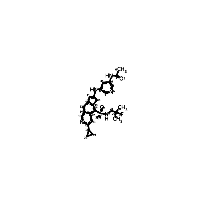 CC(=O)Nc1cncc(NC2Cc3cc4cnc(C5CC5)cc4c(S(=O)(=O)NCC(C)(C)F)c3C2)c1